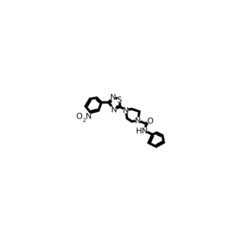 O=C(Nc1ccccc1)N1CCN(c2nc(-c3cccc([N+](=O)[O-])c3)ns2)CC1